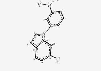 CN(C)c1cccc(-c2nnc3ccc(Cl)nn23)c1